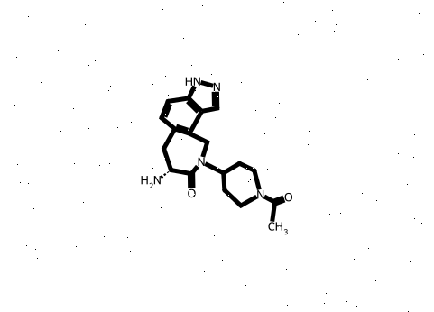 CC(=O)N1CCC(N2Cc3c(ccc4[nH]ncc34)C[C@@H](N)C2=O)CC1